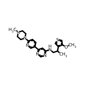 COc1cscc1C(C)CNc1cc(-c2ccc(N3CCN(C)CC3)nc2)ncn1